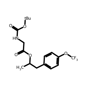 CC(Cc1ccc(OC(F)(F)F)cc1)OC(=O)CNC(=O)OC(C)(C)C